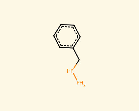 PPCc1ccccc1